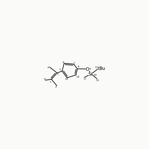 CC(C)=C(C)c1ccc(O[Si](C)(C)C(C)(C)C)cc1